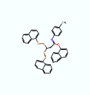 Cc1ccc(/N=C(/CC(SSc2cccc3ccccc23)SSc2cccc3ccccc23)Oc2cccc3ccccc23)cc1